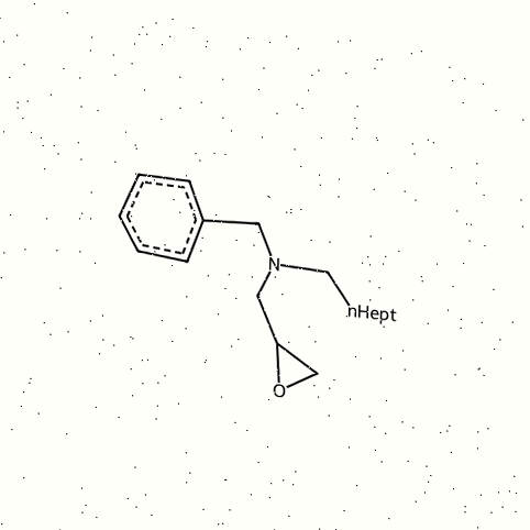 CCCCCCCCN(Cc1ccccc1)CC1CO1